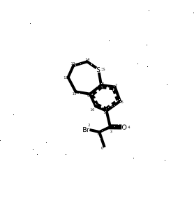 CC(Br)C(=O)c1ccc2c(c1)CCCCS2